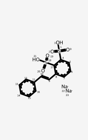 O=S(=O)(O)c1cccc(C=Cc2ccccc2)c1S(=O)(=O)O.[Na].[Na]